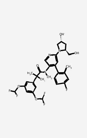 Cc1cc(F)ccc1-c1cc(N2C[C@H](O)C[C@H]2CO)ncc1N(C)C(=O)C(C)(C)c1cc(OC(F)F)cc(OC(F)F)c1